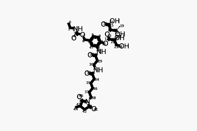 CCNC(=O)OCc1ccc(OC(OC(C(=O)O)[C@H](C)O)[C@@H](O)CO)c(NC(=O)CCNC(=O)CCCCCN2C(=O)CC(C)C2=O)c1